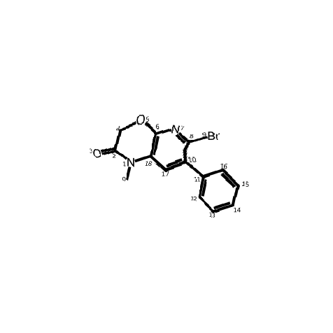 CN1C(=O)COc2nc(Br)c(-c3ccccc3)cc21